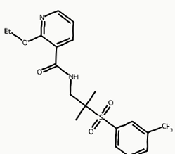 CCOc1ncccc1C(=O)NCC(C)(C)S(=O)(=O)c1cccc(C(F)(F)F)c1